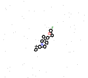 CC1(C)c2ccccc2-c2cc3c4ccccc4n(-c4cccc5c4-c4ccccc4C5(c4ccccc4)c4ccc(-c5cccc6c5oc5ccc(F)cc56)cc4)c3cc21